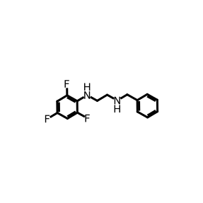 Fc1cc(F)c(NCCNCc2ccccc2)c(F)c1